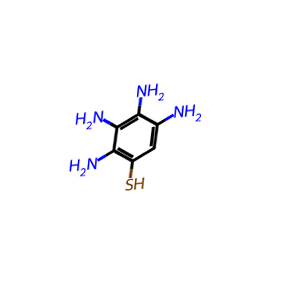 Nc1cc(S)c(N)c(N)c1N